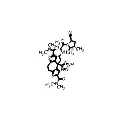 C=C(CN[C@@H](C)CC1(c2nn[nH]n2)c2cc(C(=O)N(C)C)sc2CCc2sc(C(=O)N(C)C)cc21)N1C(C#N)C[C@H](C)C1C